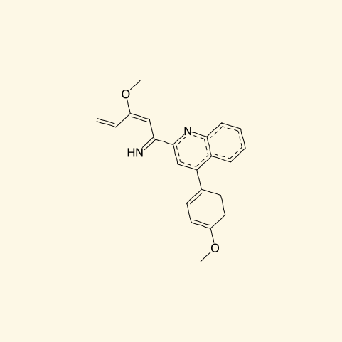 C=C/C(=C\C(=N)c1cc(C2=CC=C(OC)CC2)c2ccccc2n1)OC